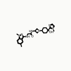 Cc1ccc2c(c1)c(NCC(=O)NC1CN(C3CCC(O)(c4nccn4C)CC3)C1)nn2C